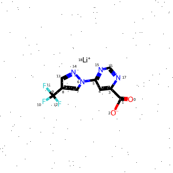 O=C([O-])c1cc(-n2cc(C(F)(F)F)cn2)ncn1.[Li+]